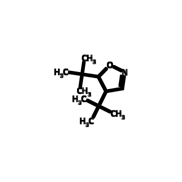 CC(C)(C)C1C=NOC1C(C)(C)C